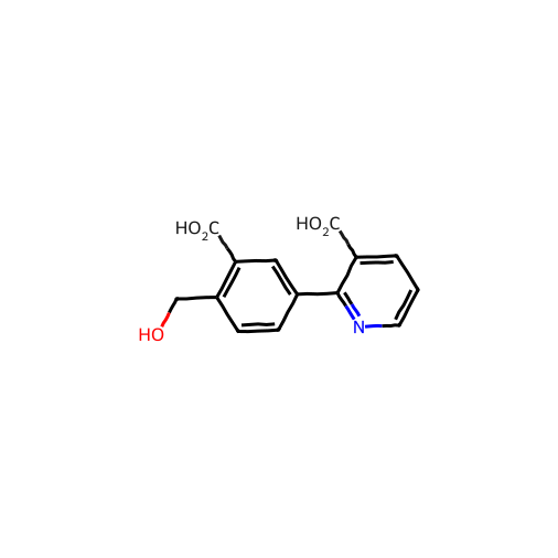 O=C(O)c1cc(-c2ncccc2C(=O)O)ccc1CO